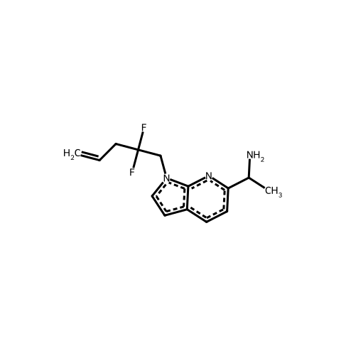 C=CCC(F)(F)Cn1ccc2ccc(C(C)N)nc21